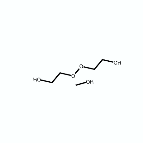 CO.OCCOOCCO